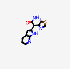 NC(=O)C(c1cscn1)c1cc2cccnc2[nH]1